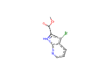 COC(=O)c1[nH]c2ncccc2c1Br